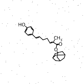 CC(=CCCC=Cc1ccc(O)cc1)C(=O)OC12CC3CC(CC(C3)C1)C2